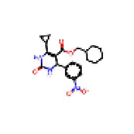 O=C1NC(C2CC2)=C(C(=O)OCC2CCCCC2)C(c2cccc([N+](=O)[O-])c2)N1